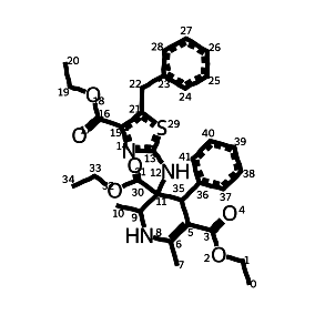 CCOC(=O)C1=C(C)NC(C)C(Nc2nc(C(=O)OCC)c(Cc3ccccc3)s2)(C(=O)OCC)C1c1ccccc1